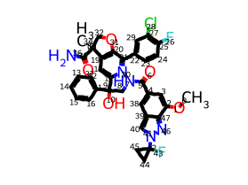 COc1cc(C(=O)NCC(O)(c2ccccc2)c2cc3c(c(-c4ccc(F)c(Cl)c4)n2)OC[C@]3(C)C(N)=O)cc2cn(C3(F)CC3)nc12